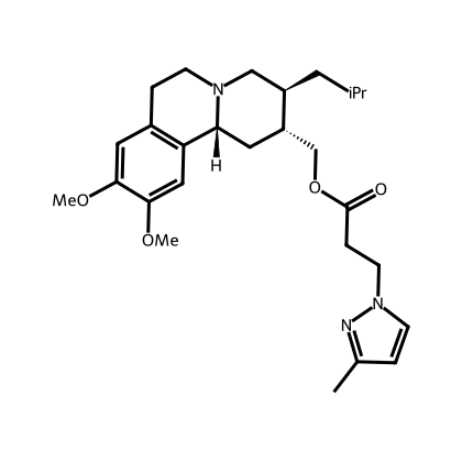 COc1cc2c(cc1OC)[C@H]1C[C@@H](COC(=O)CCn3ccc(C)n3)[C@H](CC(C)C)CN1CC2